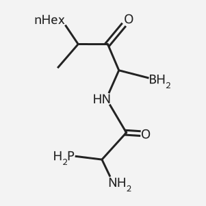 BC(NC(=O)C(N)P)C(=O)C(C)CCCCCC